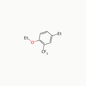 CCOc1ccc(CC)cc1C(F)(F)F